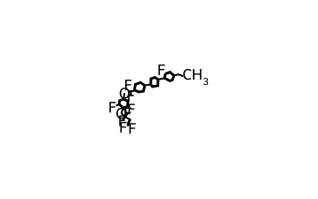 CCCc1ccc(-c2ccc(-c3ccc(C(F)(F)Oc4cc(F)c(OC(F)(F)C=C(F)F)c(F)c4)cc3)cc2)c(F)c1